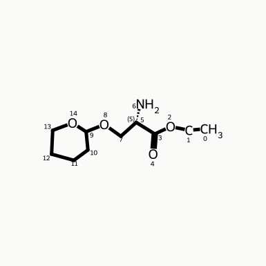 CCOC(=O)[C@@H](N)COC1CCCCO1